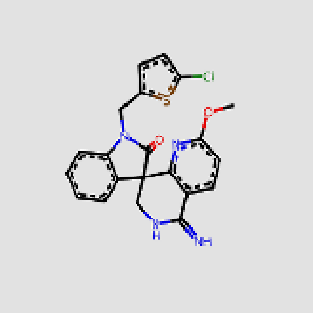 COc1ccc2c(n1)C1(CNC2=N)C(=O)N(Cc2ccc(Cl)s2)c2ccccc21